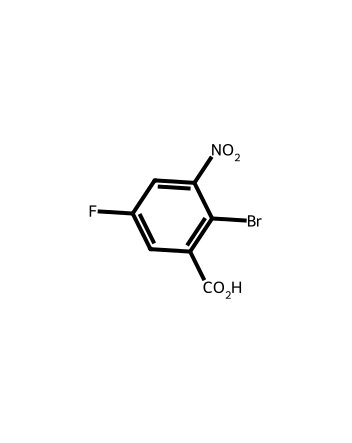 O=C(O)c1cc(F)cc([N+](=O)[O-])c1Br